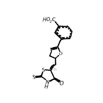 O=C1NC(=S)S/C1=C\C1CC=C(c2cccc(C(=O)O)c2)O1